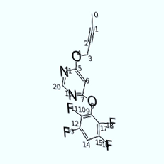 CC#CCOc1cc(Oc2c(F)c(F)cc(F)c2F)ncn1